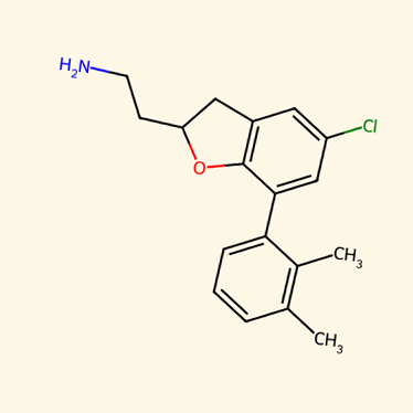 Cc1cccc(-c2cc(Cl)cc3c2OC(CCN)C3)c1C